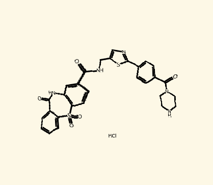 Cl.O=C(NCc1cnc(-c2ccc(C(=O)N3CCNCC3)cc2)s1)c1ccc2c(c1)NC(=O)c1ccccc1S2(=O)=O